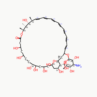 C[C@@H]1[C@H](O)[C@@H](C)/C=C/C=C/C=C/C=C/C=C/C=C/C=C/C(O[C@@H]2O[C@H](C)[C@@H](O)[C@H](N)[C@H]2O)C[C@@H]2O[C@](O)(CC(O)CC(O)[C@H](O)CCC(O)CC(O)CC(=O)O[C@H]1C)C[C@H](O)[C@H]2C(=O)O